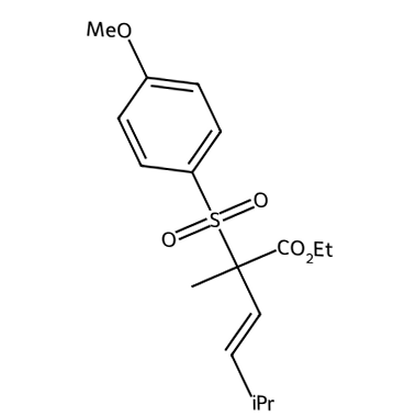 CCOC(=O)C(C)(C=CC(C)C)S(=O)(=O)c1ccc(OC)cc1